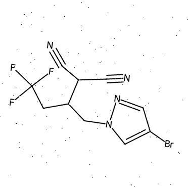 N#CC(C#N)C(Cn1cc(Br)cn1)CC(F)(F)F